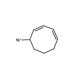 [Ni+][CH]1C=CC=CCCC1